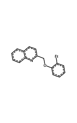 CCc1ccccc1OCc1ccc2ccccc2n1